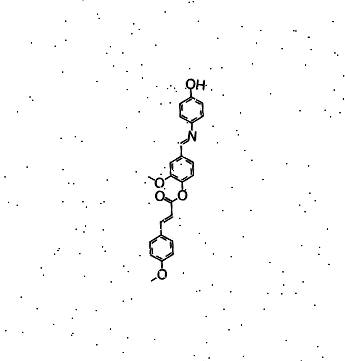 COc1ccc(/C=C/C(=O)Oc2ccc(/C=N/c3ccc(O)cc3)cc2OC)cc1